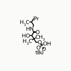 CC(C)C(C)CNC(=O)C(O)C(C)(C)COP(=O)(O)OC(C)(C)C